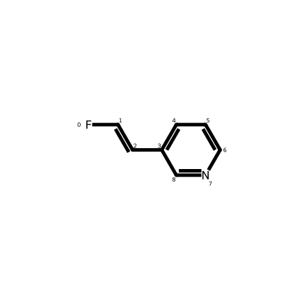 F/C=C/c1cccnc1